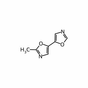 Cc1ncc(-c2cnco2)o1